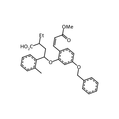 CCC(CC(Oc1cc(OCc2ccccc2)ccc1C=CC(=O)OC)c1ccccc1C)C(=O)O